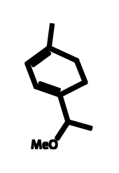 COC(C)C1=CC=C(C)CC1